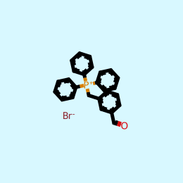 O=Cc1cccc(C[P+](c2ccccc2)(c2ccccc2)c2ccccc2)c1.[Br-]